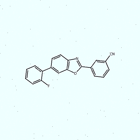 N#Cc1cccc(-c2nc3ccc(-c4ccccc4F)cc3o2)c1